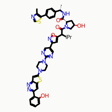 Cc1ncsc1-c1ccc([C@H](C)NC(=O)[C@@H]2C[C@@H](O)CN2C(=O)C(c2cc(-c3cnc(N4CCN(c5cc6nnc(-c7ccccc7O)cc6s5)CC4)nc3)no2)C(C)C)cc1